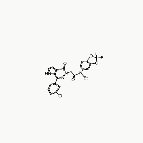 CCN(C(=O)Cn1nc(-c2cccc(Cl)c2)c2[nH]ccc2c1=O)c1ccc2c(c1)OC(F)(F)O2